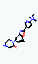 C[N+](C)(C)c1ccc(-c2nc3cc(N4CCNCC4=O)ccc3o2)cn1